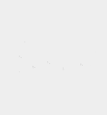 Cc1cc(N2CCN(CN3C(=O)COc4ccccc43)CC2)nc(C)n1